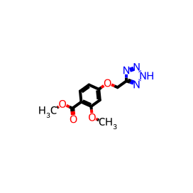 COC(=O)c1ccc(OCc2nn[nH]n2)cc1OC